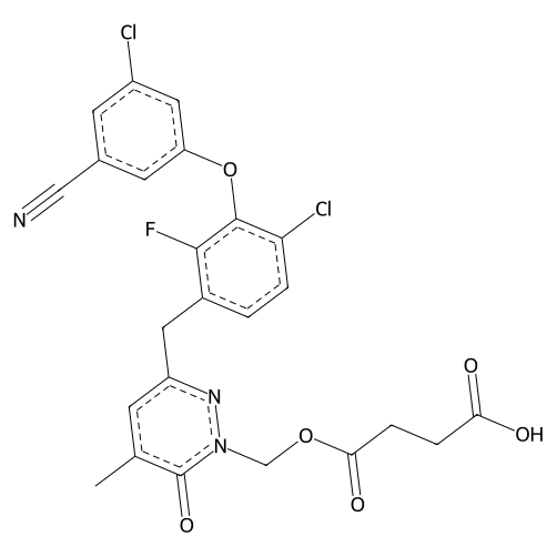 Cc1cc(Cc2ccc(Cl)c(Oc3cc(Cl)cc(C#N)c3)c2F)nn(COC(=O)CCC(=O)O)c1=O